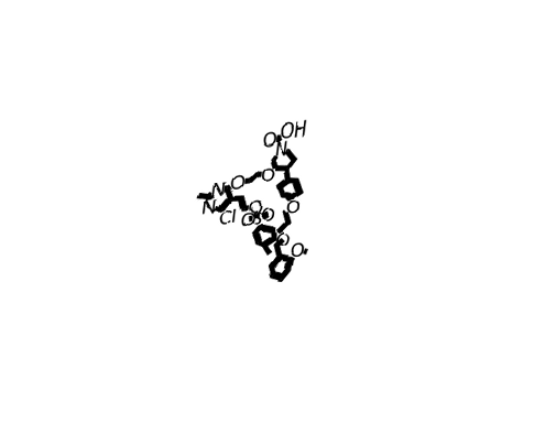 COc1ccccc1COCCCOc1ccc(C2CCN(C(=O)O)CC2OCCOc2nc(C)nc(Cl)c2CCOS(=O)(=O)c2ccc(C)cc2)cc1